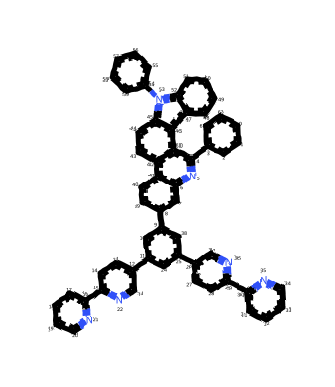 c1ccc(-c2nc3cc(-c4cc(-c5ccc(-c6ccccn6)nc5)cc(-c5ccc(-c6ccccn6)nc5)c4)ccc3c3ccc4c(c5ccccc5n4-c4ccccc4)c23)cc1